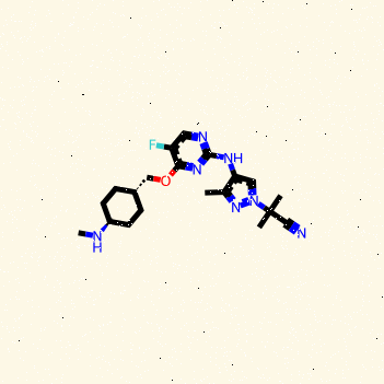 CN[C@H]1CC[C@H](COc2nc(Nc3cn(C(C)(C)C#N)nc3C)ncc2F)CC1